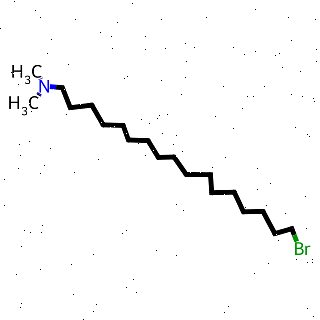 CN(C)CCCCCCCCCCCCCCCCCBr